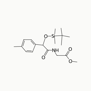 COC(=O)CNC(=O)C(O[Si](C)(C)C(C)(C)C)c1ccc(C)cc1